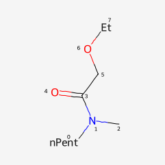 CCCCCN(C)C(=O)COCC